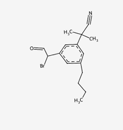 CCCCc1cc(C(Br)C=O)cc(C(C)(C)C#N)c1